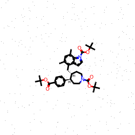 Cc1cc(C)c2c(ccn2C(=O)OC(C)(C)C)c1C[C@@H]1CCN(C(=O)OC(C)(C)C)CC[C@H]1c1ccc(C(=O)OC(C)(C)C)cc1